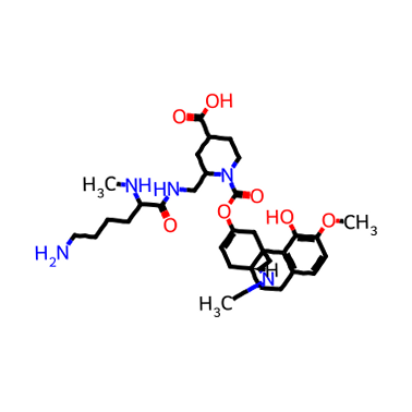 CNC(CCCCN)C(=O)NCC1CC(C(=O)O)CCN1C(=O)OC1=CC[C@H]2C3Cc4ccc(OC)c(O)c4C2(CCN3C)C1